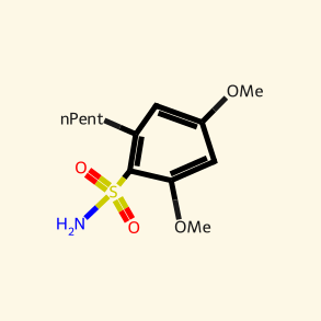 CCCCCc1cc(OC)cc(OC)c1S(N)(=O)=O